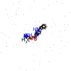 C[C@H](Cc1cnn[nH]1)OCC(=O)N1Cc2cnc(NC3CC4=C(CCC=C4)C3)nc2C1